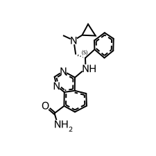 CN(C[C@@H](Nc1ncnc2c(C(N)=O)cccc12)c1ccccc1)C1CC1